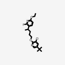 CCOc1ccc(C(C)CCCOc2ncc(C(C)(C)C)cc2Cl)c(F)n1